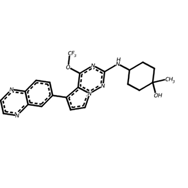 CC1(O)CCC(Nc2nc(OC(F)(F)F)c3c(-c4ccc5nccnc5c4)ccn3n2)CC1